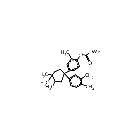 COC(=O)Oc1ccc(C2(c3ccc(C)c(C)c3)CCC(C)(C)C(C)C2)cc1C